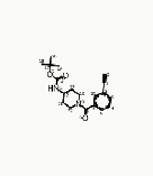 C#Cc1cccc(C(=O)N2CCC(NC(=O)OC(C)(C)C)CC2)c1